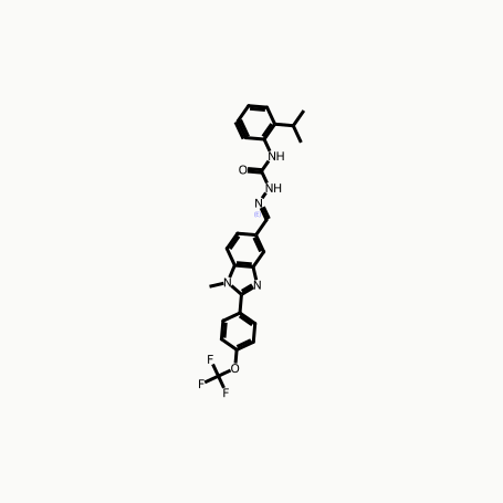 CC(C)c1ccc#cc1NC(=O)N/N=C/c1ccc2c(c1)nc(-c1ccc(OC(F)(F)F)cc1)n2C